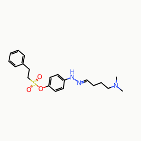 CN(C)CCCC=NNc1ccc(OS(=O)(=O)CCc2ccccc2)cc1